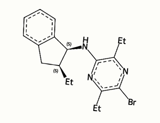 CCc1nc(N[C@@H]2c3ccccc3C[C@@H]2CC)c(CC)nc1Br